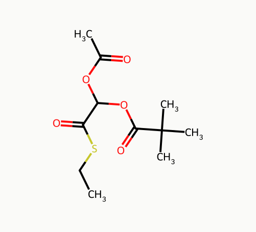 CCSC(=O)C(OC(C)=O)OC(=O)C(C)(C)C